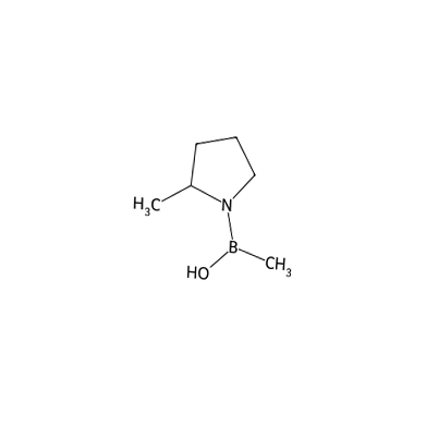 CB(O)N1CCCC1C